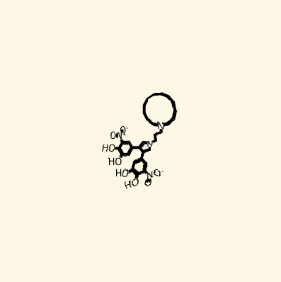 O=[N+]([O-])c1cc(-c2cn(CCCN3CCCCCCCCCCCC3)cc2-c2cc(O)c(O)c([N+](=O)[O-])c2)cc(O)c1O